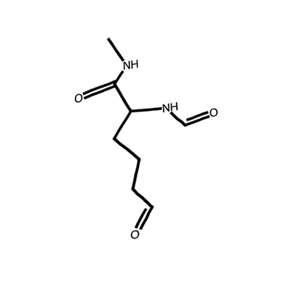 CNC(=O)C(CCCC=O)NC=O